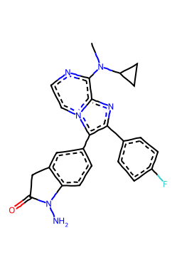 CN(c1nccn2c(-c3ccc4c(c3)CC(=O)N4N)c(-c3ccc(F)cc3)nc12)C1CC1